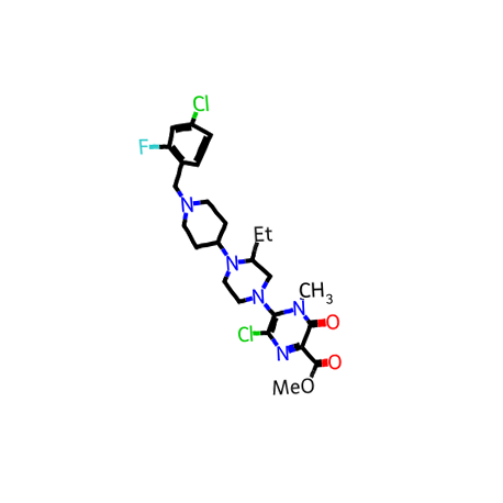 CCC1CN(c2c(Cl)nc(C(=O)OC)c(=O)n2C)CCN1C1CCN(Cc2ccc(Cl)cc2F)CC1